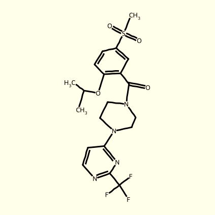 CC(C)Oc1ccc(S(C)(=O)=O)cc1C(=O)N1CCN(c2ccnc(C(F)(F)F)n2)CC1